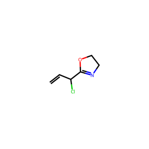 C=CC(Cl)C1=NCCO1